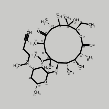 C#CCCN(C)[C@@H]1CC(O[C@@H]2[C@@H](C)[C@H](O)[C@@H](C)C(=O)O[C@H](CC)[C@@](C)(O)[C@H](O)[C@@H](C)C(=O)[C@H](C)C[C@@]2(C)OC)O[C@H](C)C1